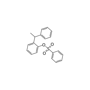 CC(c1ccccc1)c1ccccc1OS(=O)(=O)c1ccccc1